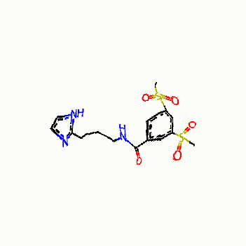 CS(=O)(=O)c1cc(C(=O)NCCCc2ncc[nH]2)cc(S(C)(=O)=O)c1